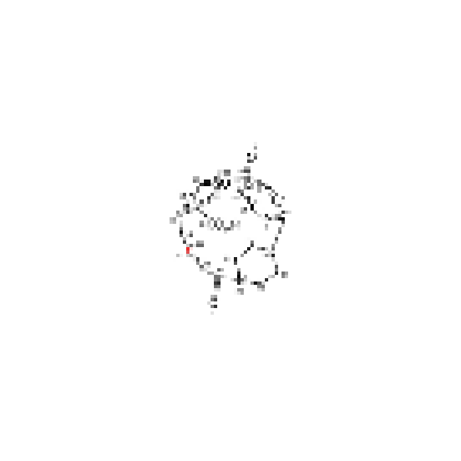 O=C(O)c1cc2c(=O)c3cc4ccc3oc2nc1C1CC(C1)C(=O)N1CCC4CC1